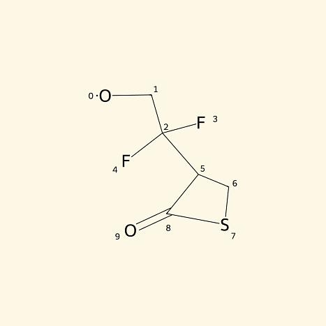 [O]CC(F)(F)C1CSC1=O